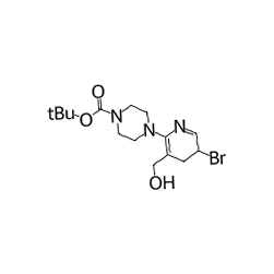 CC(C)(C)OC(=O)N1CCN(C2=C(CO)CC(Br)C=N2)CC1